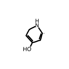 OC1=CCN[C]=C1